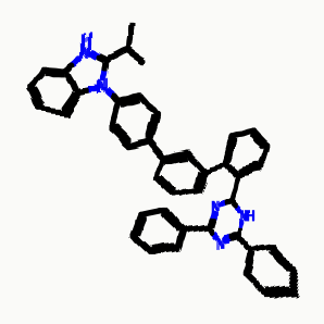 CC(C)C1Nc2ccccc2N1c1ccc(-c2cccc(-c3ccccc3C3N=C(c4ccccc4)N=C(c4ccccc4)N3)c2)cc1